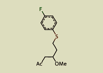 COC(CCSc1ccc(F)cc1)CC(C)=O